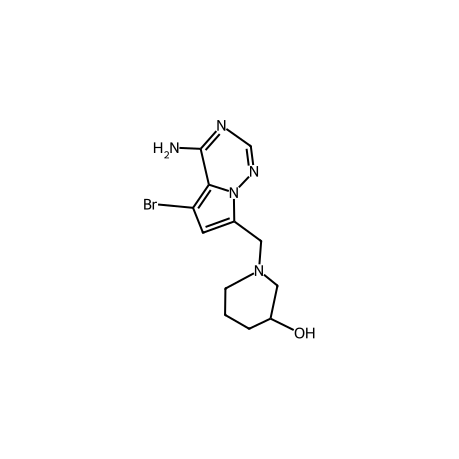 Nc1ncnn2c(CN3CCCC(O)C3)cc(Br)c12